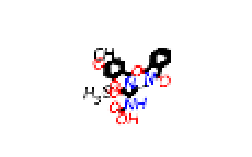 COc1ccc(CN2C(=O)[C@@H](NC(=O)O)[C@H]2CN2C(=O)c3ccccc3C2=O)c(OC)c1